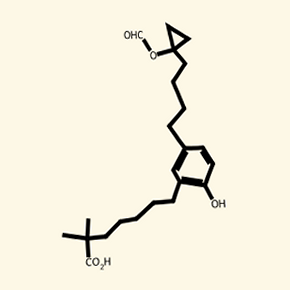 CC(C)(CCCCCc1cc(CCCCC2(OC=O)CC2)ccc1O)C(=O)O